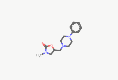 CN1CC(CN2CCN(c3ccccc3)CC2)OC1=O